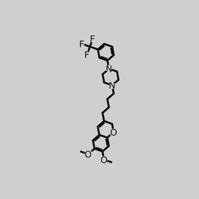 COc1cc2c(cc1OC)OCC(CCCCN1CCN(c3cccc(C(F)(F)F)c3)CC1)=C2